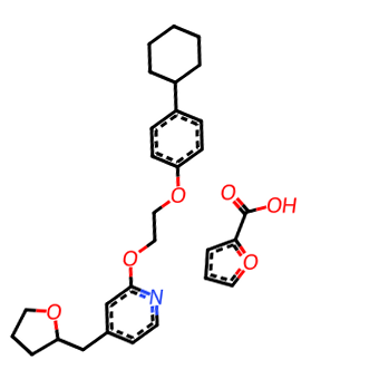 O=C(O)c1ccco1.c1cc(CC2CCCO2)cc(OCCOc2ccc(C3CCCCC3)cc2)n1